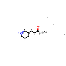 COC(=O)CCC1CCCNC1